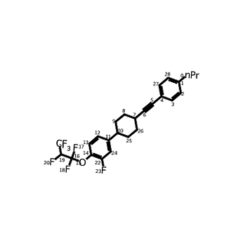 CCCc1ccc(C#CC2CCC(c3ccc(OC(F)(F)C(F)C(F)(F)F)c(F)c3)CC2)cc1